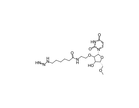 COC[C@H]1O[C@@H](n2ccc(=O)[nH]c2=O)C(OCCNC(=O)CCCCCNN=N)C1O